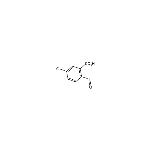 O=Ic1ccc(Cl)cc1C(=O)O